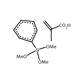 C=C(C)C(=O)O.CO[Si](OC)(OC)c1ccccc1